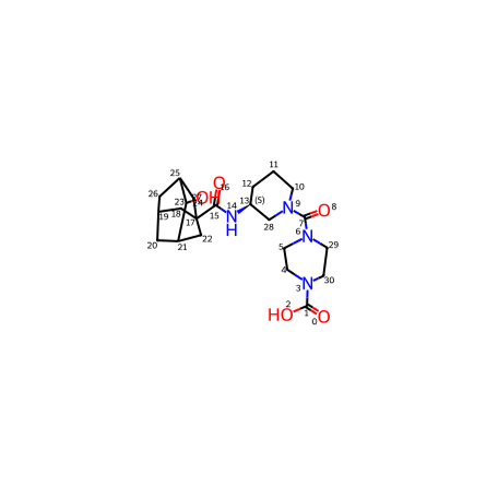 O=C(O)N1CCN(C(=O)N2CCC[C@H](NC(=O)C34CC5CC(C3)C(O)C(C5)C4)C2)CC1